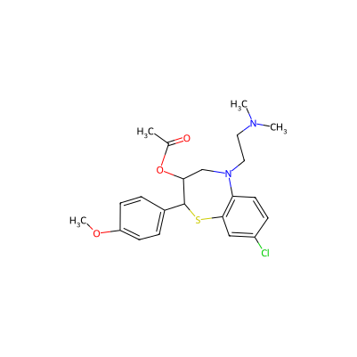 COc1ccc(C2Sc3cc(Cl)ccc3N(CCN(C)C)CC2OC(C)=O)cc1